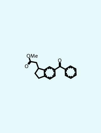 COC(=O)CC1CCc2ccc(C(=O)c3ccccc3)cc21